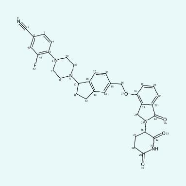 N#Cc1ccc(N2CCN(C3CCc4cc(COc5cccc6c5CN(C5CCC(=O)NC5=O)C6=O)ccc43)CC2)c(F)c1